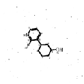 OC1CCCC(c2cccnc2F)C1